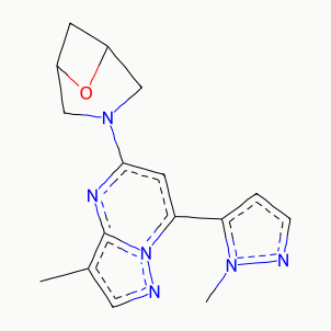 Cc1cnn2c(-c3ccnn3C)cc(N3CC4CC(C3)O4)nc12